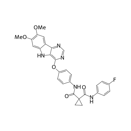 COc1cc2[nH]c3c(Oc4ccc(NC(=O)C5(C(=O)Nc6ccc(F)cc6)CC5)cc4)ncnc3c2cc1OC